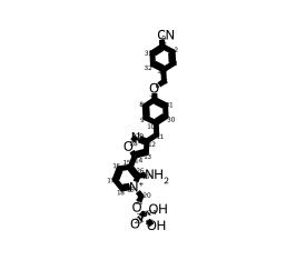 N#Cc1ccc(COc2ccc(Cc3cc(-c4ccc[n+](COP(=O)(O)O)c4N)on3)cc2)cc1